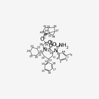 Cc1cccc(N(C(N)=O)C2CC(c3ccccc3)CC(C3CCCCC3)N(CC(=O)OC3C4CC5CC(C4)CC3C5)C2=O)c1